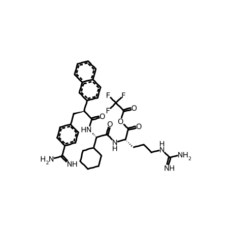 N=C(N)NCCC[C@H](NC(=O)[C@@H](NC(=O)[C@@H](Cc1ccc(C(=N)N)cc1)c1ccc2ccccc2c1)C1CCCCC1)C(=O)OC(=O)C(F)(F)F